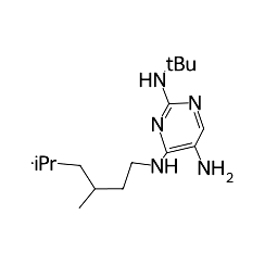 C[C](C)CC(C)CCNc1nc(NC(C)(C)C)ncc1N